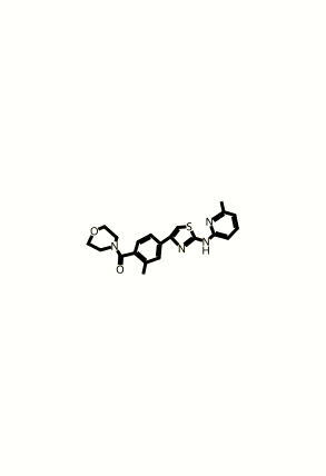 Cc1cccc(Nc2nc(-c3ccc(C(=O)N4CCOCC4)c(C)c3)cs2)n1